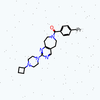 CC(C)c1ccc(C(=O)N2CCc3cnc(N4CCN(C5CCC5)CC4)nc3CC2)cc1